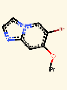 CC(C)Oc1cc2nccn2cc1Br